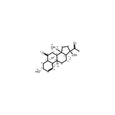 CC(=O)[C@@]1(O)CC[C@H]2[C@@H]3[C@@H](O)C(=O)C4C[C@@H](O)C=C[C@]4(C)[C@H]3CC[C@@]21C